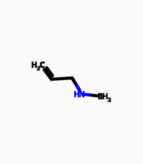 BNCC=C